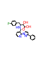 O=C(O)C(O)C(Cc1ccc(F)cc1)NCc1cccnc1-n1ccc(-c2ccccc2)n1